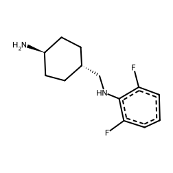 N[C@H]1CC[C@H](CNc2c(F)cccc2F)CC1